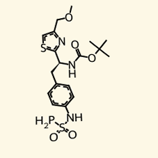 COCc1csc([C@H](Cc2ccc(NS(=O)(=O)P)cc2)NC(=O)OC(C)(C)C)n1